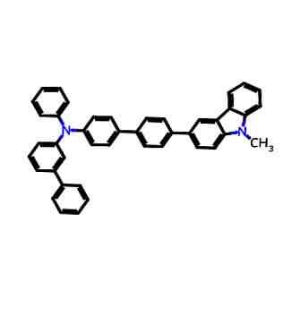 Cn1c2ccccc2c2cc(-c3ccc(-c4ccc(N(c5ccccc5)c5cccc(-c6ccccc6)c5)cc4)cc3)ccc21